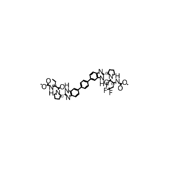 CC[C@H](NC(=O)OC)C(=O)N1CCC[C@H]1c1nc2ccc(-c3ccc(-c4ccc5nc([C@@H]6CCCN6C(=O)[C@H](CC(F)(F)F)NC(=O)OC)[nH]c5c4)cc3)cc2[nH]1